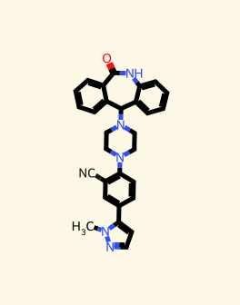 Cn1nccc1-c1ccc(N2CCN(C3c4ccccc4NC(=O)c4ccccc43)CC2)c(C#N)c1